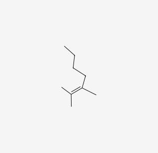 CCCCC(C)=C(C)C